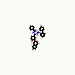 c1ccc(-c2nc(-c3ccc4oc5c6ccccc6ccc5c4c3)nc(-n3c4ccccc4c4ccccc43)n2)cc1